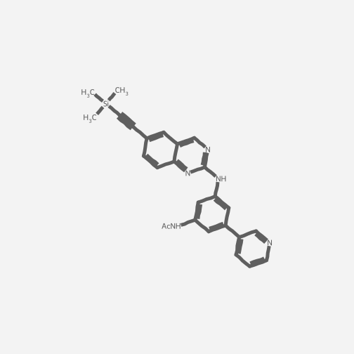 CC(=O)Nc1cc(Nc2ncc3cc(C#C[Si](C)(C)C)ccc3n2)cc(-c2cccnc2)c1